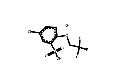 O=S(=O)(O)c1cc(Cl)ccc1OCC(F)(F)F.[KH]